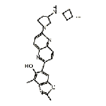 Cc1nc2c(C)c(O)c(-c3ccc4nc(N5CCC(N[C@H]6C[C@@H](F)C6)C5)ccc4n3)cc2o1